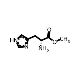 COC(=O)[C@H](N)Cc1c[nH]cn1